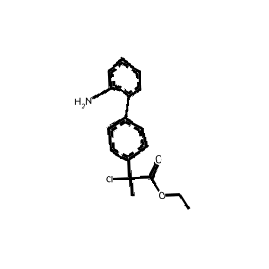 CCOC(=O)C(C)(Cl)c1ccc(-c2ccccc2N)cc1